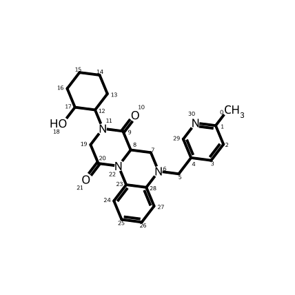 Cc1ccc(CN2CC3C(=O)N(C4CCCCC4O)CC(=O)N3c3ccccc32)cn1